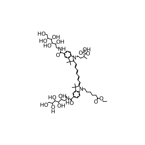 CCOC(=O)CCCCCN1/C(=C/C=C/C=C/C=C/C2=[N+](CCC(C)S(=O)(=O)O)c3ccc(C(=O)NCC(O)C(O)C(O)C(O)CO)cc3C2(C)C)C(C)(C)c2cc(C(=O)NCC(O)C(O)C(O)C(O)CO)ccc21